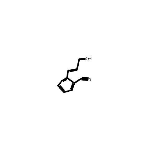 N#Cc1ccccc1C=CCO